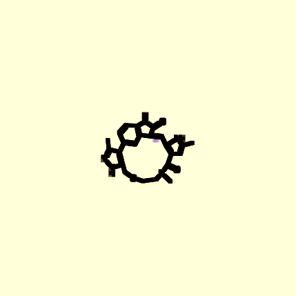 Cc1cc2c([nH]1)/C=C1\C(=O)Nc3ccc(cc31)-c1c(C)n[nH]c1COCCN(C)C2=O